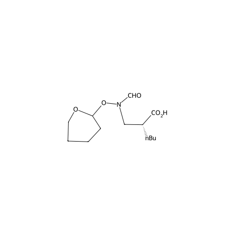 CCCC[C@H](CN(C=O)OC1CCCCO1)C(=O)O